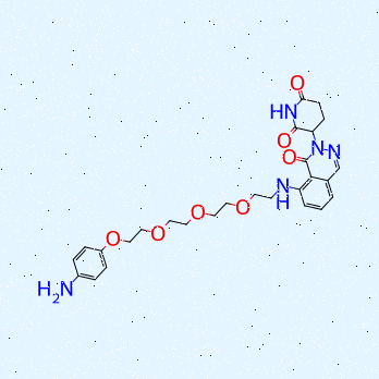 Nc1ccc(OCCOCCOCCOCCNc2cccc3cnn(C4CCC(=O)NC4=O)c(=O)c23)cc1